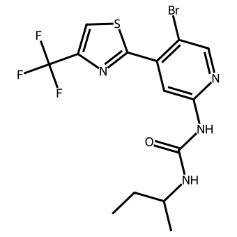 CCC(C)NC(=O)Nc1cc(-c2nc(C(F)(F)F)cs2)c(Br)cn1